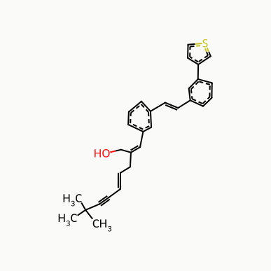 CC(C)(C)C#CC=CCC(=Cc1cccc(C=Cc2cccc(-c3ccsc3)c2)c1)CO